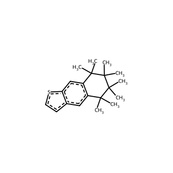 CC1(C)c2cc3ccsc3cc2C(C)(C)C(C)(C)C1(C)C